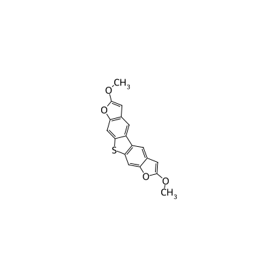 COc1cc2cc3c(cc2o1)sc1cc2oc(OC)cc2cc13